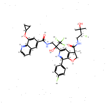 CC(C)(O)[C@H](F)CNC(=O)[C@@]1(C)COc2c1cc(C(O)(CNC(=O)c1cc(OC3CC3)c3ncccc3c1)C(F)(F)F)nc2-c1ccc(F)cc1